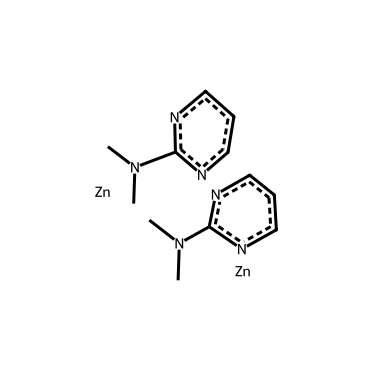 CN(C)c1ncccn1.CN(C)c1ncccn1.[Zn].[Zn]